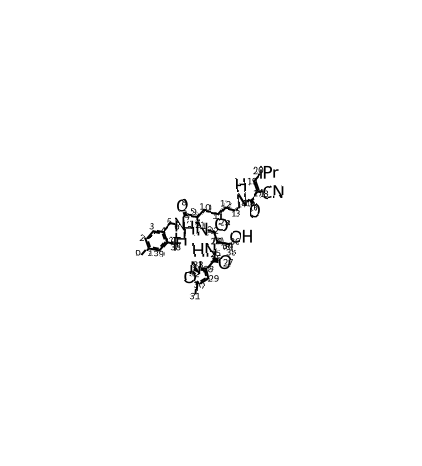 Cc1ccc(CNC(=O)C(CCCCNC(=O)C(C#N)=CC(C)C)NC(=O)[C@@H](NC(=O)c2cc(C)on2)[C@@H](C)O)c(F)c1